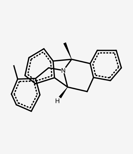 Cc1ccccc1CN1[C@@H]2Cc3ccccc3[C@@]1(C)c1ccccc12